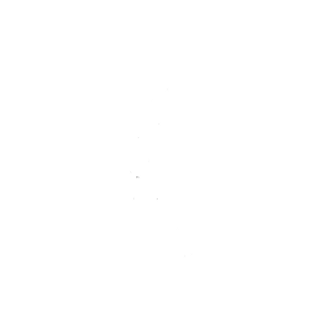 CC(C)=CCC[C@@H](C)CCC=C(C)C(=O)O